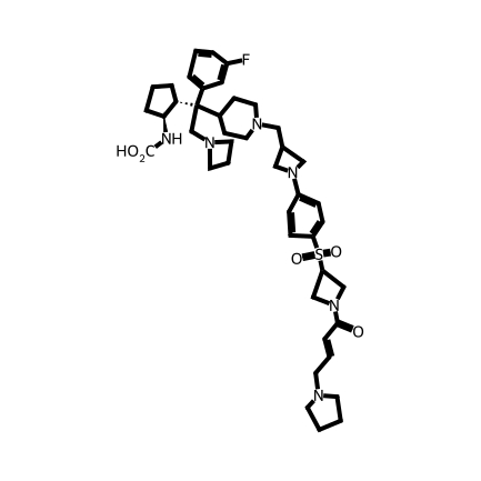 O=C(O)N[C@H]1CCC[C@@H]1C(CN1CCC1)(c1cccc(F)c1)C1CCN(CC2CN(c3ccc(S(=O)(=O)C4CN(C(=O)/C=C/CN5CCCC5)C4)cc3)C2)CC1